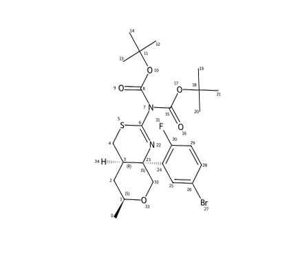 C[C@H]1C[C@H]2CSC(N(C(=O)OC(C)(C)C)C(=O)OC(C)(C)C)=N[C@@]2(c2cc(Br)ccc2F)CO1